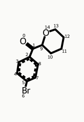 O=C(c1ccc(Br)cc1)C1CCCCO1